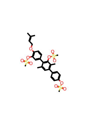 CC(C)=CCOc1ccc(-c2c(C)cc(-c3ccc(OS(C)(=O)=O)cc3)c(C)c2OS(C)(=O)=O)cc1OS(C)(=O)=O